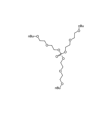 CCCCOCCOCCOP(=O)(OCCOCCOCCCC)OCCOCCOCCCC